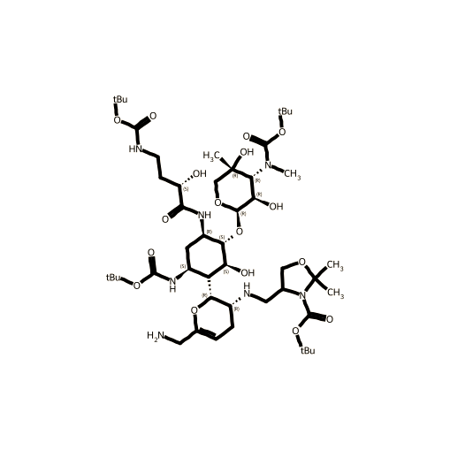 CN(C(=O)OC(C)(C)C)[C@@H]1[C@@H](O)[C@@H](O[C@H]2[C@H](NC(=O)[C@@H](O)CCNC(=O)OC(C)(C)C)C[C@H](NC(=O)OC(C)(C)C)C([C@H]3OC(CN)=CC[C@H]3NCC3COC(C)(C)N3C(=O)OC(C)(C)C)[C@@H]2O)OC[C@]1(C)O